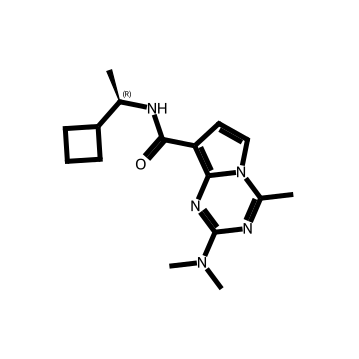 Cc1nc(N(C)C)nc2c(C(=O)N[C@H](C)C3CCC3)ccn12